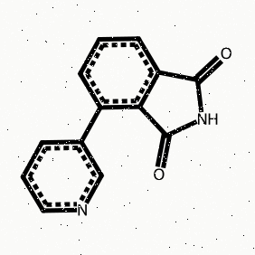 O=C1NC(=O)c2c1cccc2-c1cccnc1